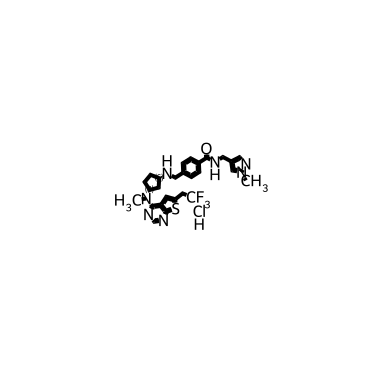 CN(c1ncnc2sc(CC(F)(F)F)cc12)[C@@H]1CC[C@H](NCc2ccc(C(=O)NCc3cnn(C)c3)cc2)C1.Cl